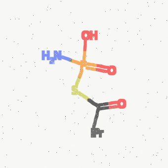 CC(C)C(=O)SP(N)(=O)O